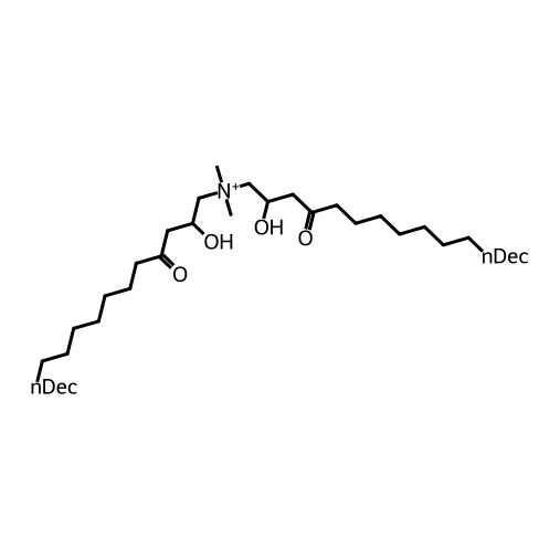 CCCCCCCCCCCCCCCCCC(=O)CC(O)C[N+](C)(C)CC(O)CC(=O)CCCCCCCCCCCCCCCCC